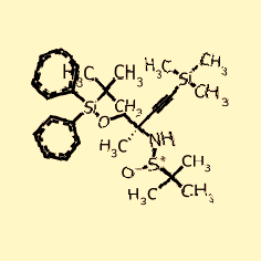 CC(C)(C)[S+]([O-])N[C@](C)(C#C[Si](C)(C)C)CO[Si](c1ccccc1)(c1ccccc1)C(C)(C)C